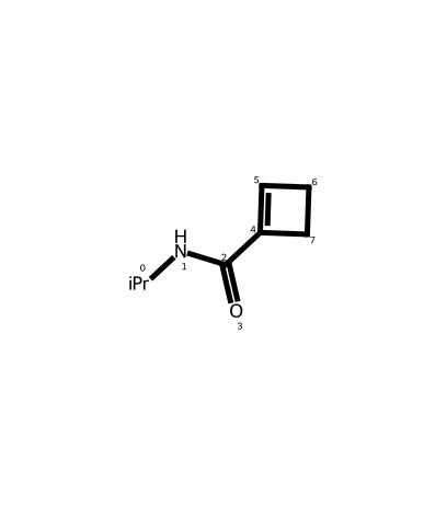 CC(C)NC(=O)C1=CCC1